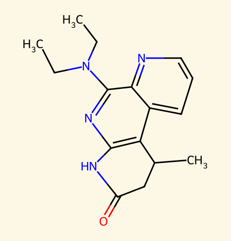 CCN(CC)c1nc2c(c3cccnc13)C(C)CC(=O)N2